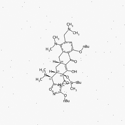 CCCCOc1cc(CN(C)C)c(N(C)C)c2c1C(=O)C1=C(O)[C@]3(O[Si](C)(C)C(C)(C)C)C(=O)c4c(OCCCC)noc4[C@@H](N(C)C)[C@@H]3C[C@@H]1C2